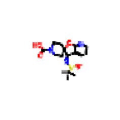 CC(C)(C)[S@@+]([O-])N=C1c2cccnc2OC12CCN(C(=O)O)CC2